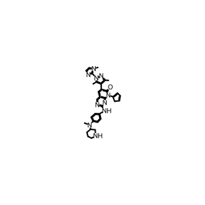 Cc1nn(-c2nccn2C)c(C)c1-c1cc2cnc(Nc3ccc(N(C)C4CCCNC4)cc3)nc2n(C2=CC=CC2)c1=O